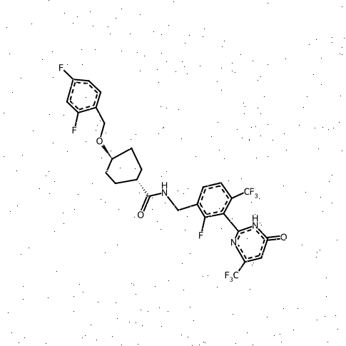 O=c1cc(C(F)(F)F)nc(-c2c(C(F)(F)F)ccc(CNC(=O)[C@H]3CC[C@H](OCc4ccc(F)cc4F)CC3)c2F)[nH]1